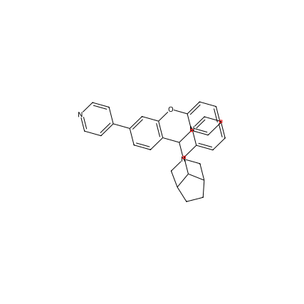 c1ccc(CC2C3CCC2CN(C2c4ccccc4Oc4cc(-c5ccncc5)ccc42)C3)nc1